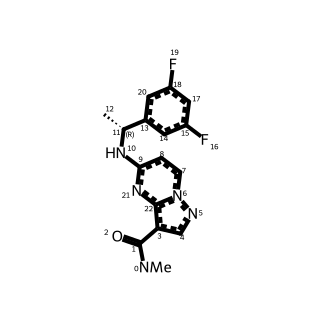 CNC(=O)c1cnn2ccc(N[C@H](C)c3cc(F)cc(F)c3)nc12